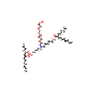 CCCCCCCCC(CCCCCC)OC(=O)OCCCCCCN(CCCCCCOC(=O)C(CCCCCC)CCCCCCCC)CCOCCOCCOCCO